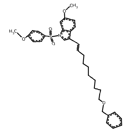 COc1ccc(S(=O)(=O)n2cc(C=CCCCCCCCCOCc3ccccc3)c3ccc(OC)cc32)cc1